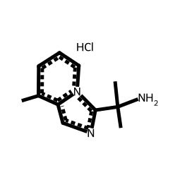 Cc1cccn2c(C(C)(C)N)ncc12.Cl